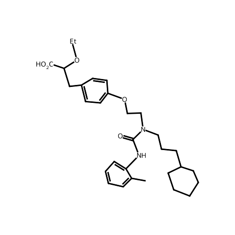 CCOC(Cc1ccc(OCCN(CCCC2CCCCC2)C(=O)Nc2ccccc2C)cc1)C(=O)O